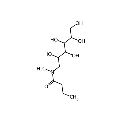 CCCC(=O)N(C)CC(O)C(O)C(O)C(O)CO